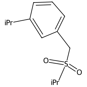 CC(C)c1cccc(CS(=O)(=O)C(C)C)c1